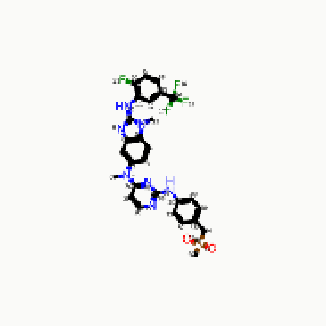 CN(c1ccc2c(c1)nc(Nc1cc(C(F)(F)F)ccc1F)n2C)c1ccnc(Nc2ccc(CS(C)(=O)=O)cc2)n1